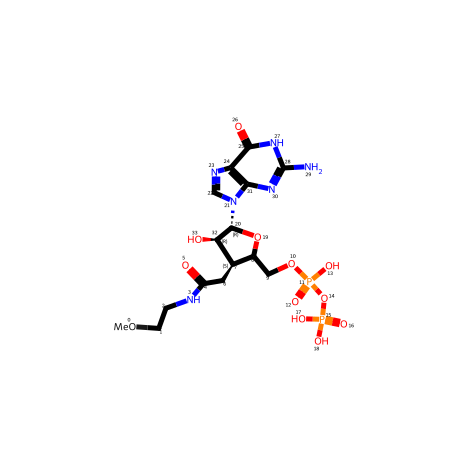 COCCNC(=O)C[C@@H]1C(COP(=O)(O)OP(=O)(O)O)O[C@@H](n2cnc3c(=O)[nH]c(N)nc32)[C@@H]1O